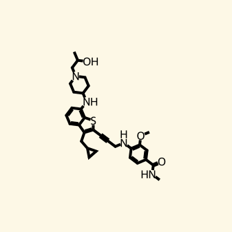 CNC(=O)c1ccc(NCC#Cc2sc3c(NC4CCN(CC(C)O)CC4)cccc3c2CC2CC2)c(OC)c1